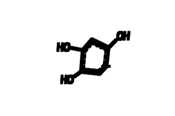 Oc1[c]cc(O)c(O)c1